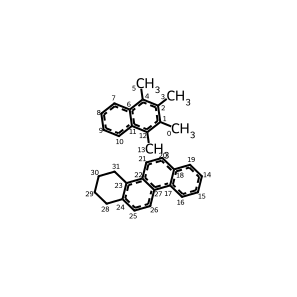 Cc1c(C)c(C)c2ccccc2c1C.c1ccc2c(c1)ccc1c3c(ccc12)CCCC3